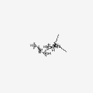 CCCCCCCCSc1nc(Nc2cc(C(C)(C)C)c(O)c(C(C)(C)CCC(C)(C)c3cc(CCC(=O)NNC(=O)CCc4cc(C(C)(C)C)c(O)c(C(C)(C)C)c4)cc(C(C)(C)C)c3O)c2)nc(SCCCCCCCC)n1